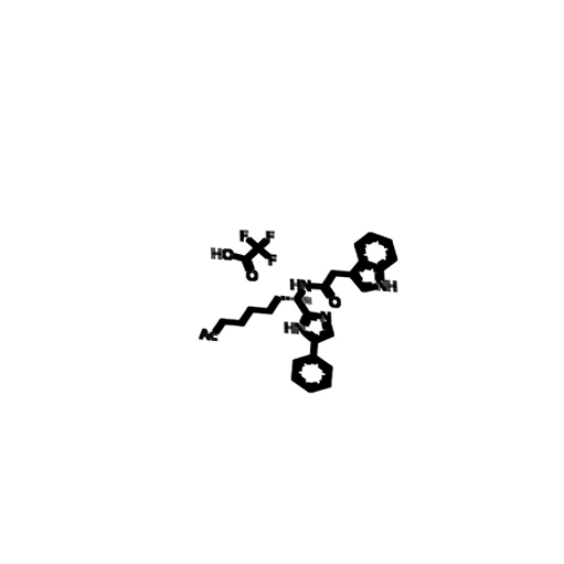 CC(=O)CCCCC[C@H](NC(=O)Cc1c[nH]c2ccccc12)c1ncc(-c2ccccc2)[nH]1.O=C(O)C(F)(F)F